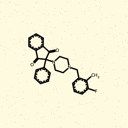 Cc1c(F)cccc1CN1CCN(C2(c3ccccc3)C(=O)c3ccccc3C2=O)CC1